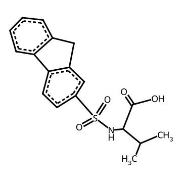 CC(C)C(NS(=O)(=O)c1ccc2c(c1)Cc1ccccc1-2)C(=O)O